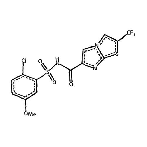 COc1ccc(Cl)c(S(=O)(=O)NC(=O)c2cn3cc(C(F)(F)F)sc3n2)c1